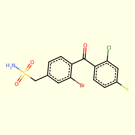 NS(=O)(=O)Cc1ccc(C(=O)c2ccc(F)cc2Cl)c(Br)c1